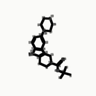 CC(C)(C)OC(=O)N1CCc2[nH]c3ccc(N4CCSCC4)cc3c2C1